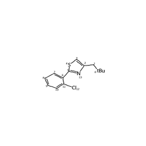 CC(C)(C)Cc1csc(-c2ccccc2Cl)n1